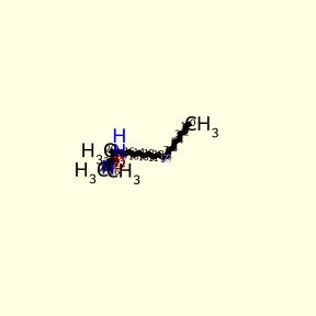 CCCCCCCC/C=C\CCCCCCCCNC(C)C(=O)CN(C)C